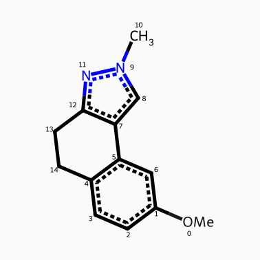 COc1ccc2c(c1)-c1cn(C)nc1CC2